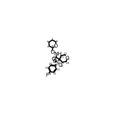 O=C(NOC1CCCCO1)C1(S(=O)(=O)c2ccc(F)cc2)CCOCC1